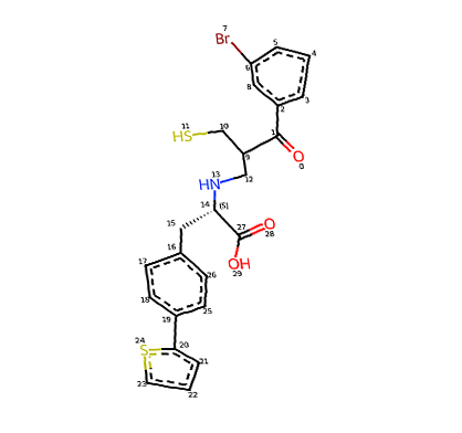 O=C(c1cccc(Br)c1)C(CS)CN[C@@H](Cc1ccc(-c2cccs2)cc1)C(=O)O